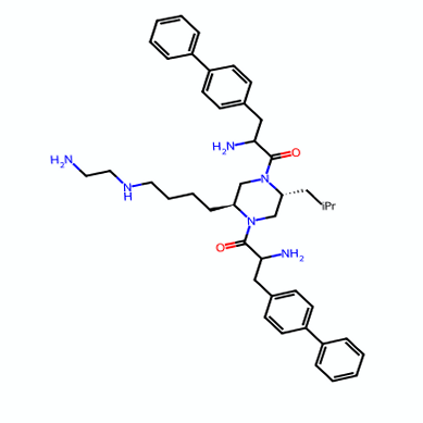 CC(C)C[C@@H]1CN(C(=O)C(N)Cc2ccc(-c3ccccc3)cc2)[C@@H](CCCCNCCN)CN1C(=O)C(N)Cc1ccc(-c2ccccc2)cc1